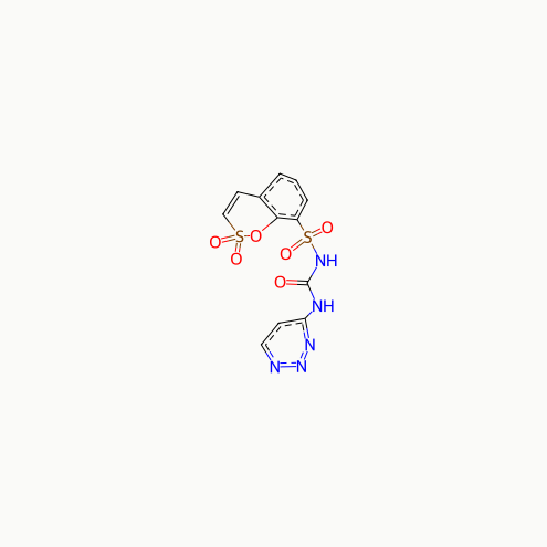 O=C(Nc1ccnnn1)NS(=O)(=O)c1cccc2c1OS(=O)(=O)C=C2